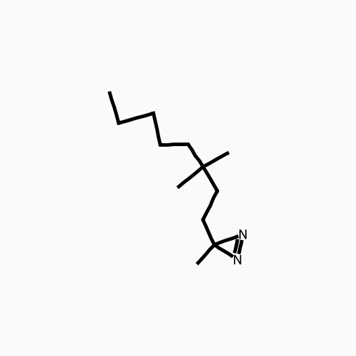 CCCCCC(C)(C)CCC1(C)N=N1